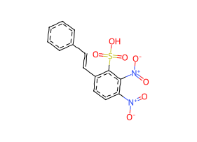 O=[N+]([O-])c1ccc(C=Cc2ccccc2)c(S(=O)(=O)O)c1[N+](=O)[O-]